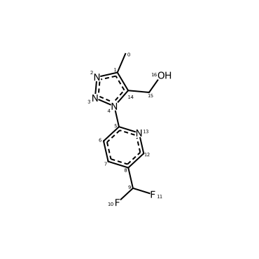 Cc1nnn(-c2ccc(C(F)F)cn2)c1CO